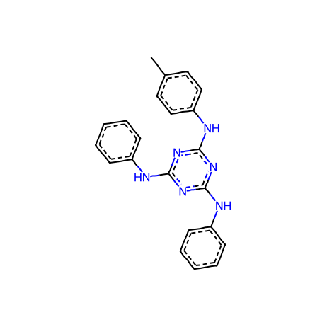 Cc1ccc(Nc2nc(Nc3ccccc3)nc(Nc3ccccc3)n2)cc1